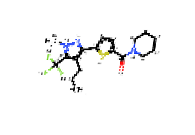 CCCc1c(-c2ccc(C(=O)N3CCCCC3)s2)nn(C)c1C(F)(F)F